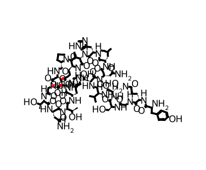 CC(C)C[C@H](NC(=O)[C@H](CC(N)=O)NC(=O)[C@H](CO)NC(=O)[C@@H](NC(=O)[C@H](CO)NC(=O)[C@H](CO)NC(=O)CNC(=O)[C@H](CCC(N)=O)NC(=O)[C@@H](N)Cc1ccc(O)cc1)C(C)C)C(=O)N[C@@H](Cc1c[nH]cn1)C(=O)N[C@H](C(=O)N[C@@H](CCC(=O)O)C(=O)N1CCC[C@H]1C(=O)N[C@@H](CS)C(=O)NCC(=O)N[C@H](C(=O)N[C@@H](CC(N)=O)C(=O)N[C@H](C(=O)N[C@@H](Cc1c[nH]cn1)C(=O)N[C@@H](C)C(=O)O)[C@@H](C)O)[C@@H](C)O)C(C)C